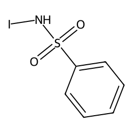 O=S(=O)(NI)c1ccccc1